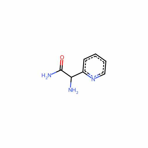 NC(=O)C(N)c1ccccn1